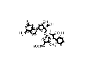 C#C[C@]1(CO[P@@](=O)(NC(Cc2ccccc2)C(=O)O)OC(C)C(=O)OCCCCCCCC)O[C@@H](n2cnc3c(N)nc(F)nc32)C[C@@H]1O